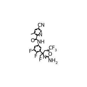 Cc1cc(C#N)cnc1C(=O)Nc1cc(F)c(F)c([C@]2(CF)C[C@@H](C(F)(F)F)OC(N)=N2)c1